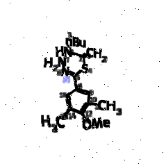 C=C(NCCCC)S/C(=N\N)c1cc(C)c(OC)c(C)c1